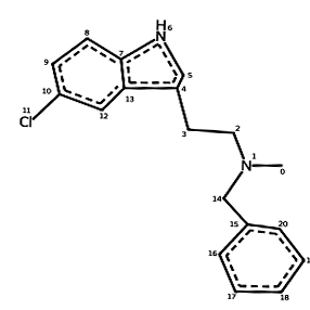 CN(CCc1c[nH]c2ccc(Cl)cc12)Cc1ccccc1